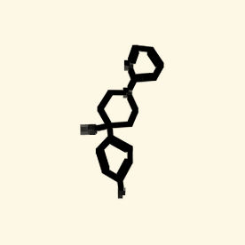 OC1(c2ccc(F)cc2)CCN(c2ccccn2)CC1